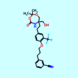 CC1(C)OCC(CO)(CCc2ccc(OCCCc3cccc(C#N)c3)c(C(F)(F)F)c2)NC(=O)O1